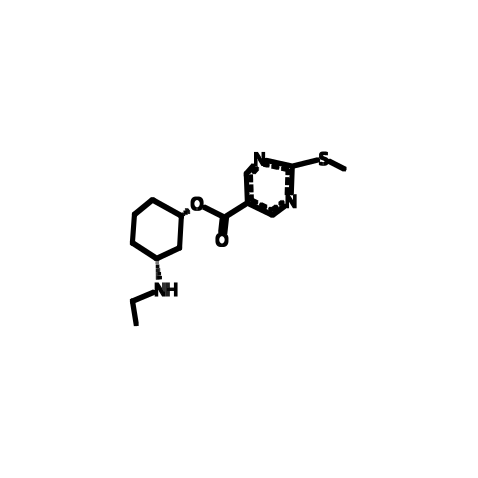 CCN[C@@H]1CCC[C@H](OC(=O)c2cnc(SC)nc2)C1